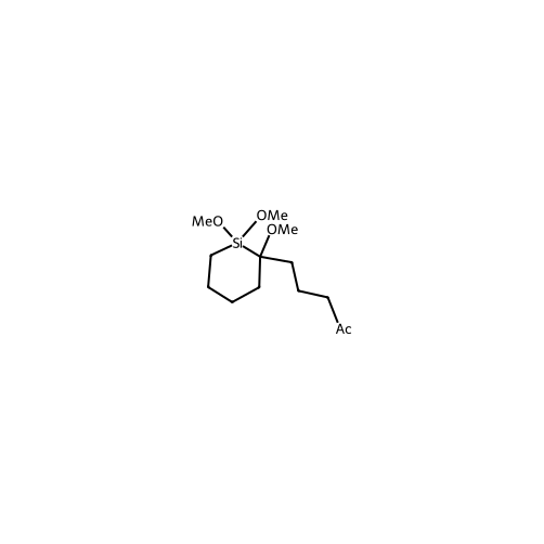 COC1(CCCC(C)=O)CCCC[Si]1(OC)OC